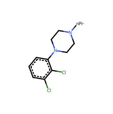 CC[CH]N1CCN(c2cccc(Cl)c2Cl)CC1